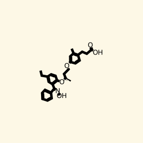 CCc1ccc(O[C@H](C)CCOc2ccc(CCC(=O)O)c(C)c2)c(C(=NO)c2ccccc2)c1